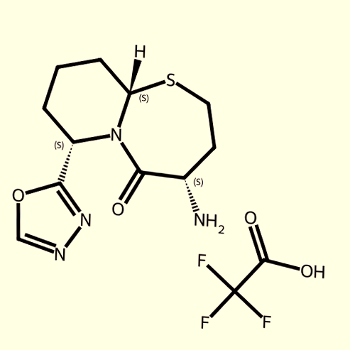 N[C@H]1CCS[C@H]2CCC[C@@H](c3nnco3)N2C1=O.O=C(O)C(F)(F)F